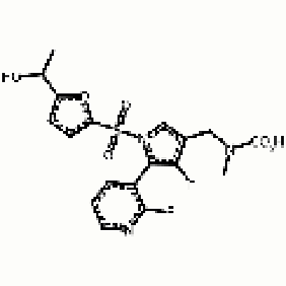 CC(O)c1ccc(S(=O)(=O)n2cc(CN(C)C(=O)O)c(F)c2-c2cccnc2F)o1